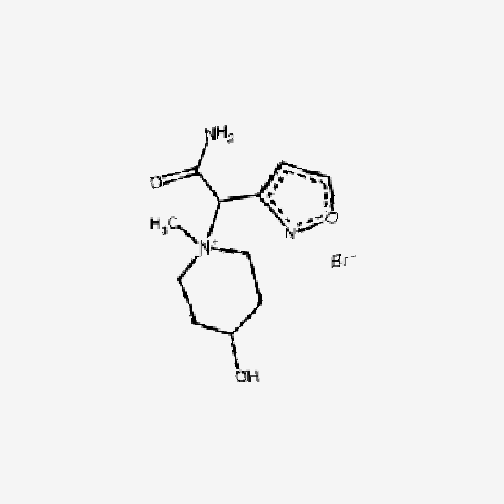 C[N+]1(C(C(N)=O)c2ccon2)CCC(O)CC1.[Br-]